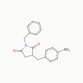 O=C1CC(Cc2ccc([N+](=O)[O-])cc2)C(=O)N1Cc1ccccc1